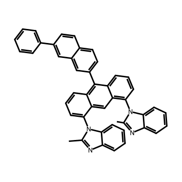 Cc1nc2ccccc2n1-c1cccc2c(-c3ccc4ccc(-c5ccccc5)cc4c3)c3cccc(-n4c(C)nc5ccccc54)c3cc12